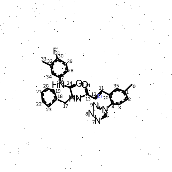 Cc1ccc(-n2cnnn2)c(/C=C/C(=O)N[C@@H](Cc2ccccc2)C(=O)Nc2ccc(F)c(C)c2)c1